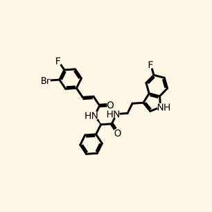 O=C(/C=C/c1ccc(F)c(Br)c1)N[C@@H](C(=O)NCCc1c[nH]c2ccc(F)cc12)c1ccccc1